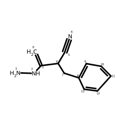 C=C(NN)C(C#N)Cc1ccccc1